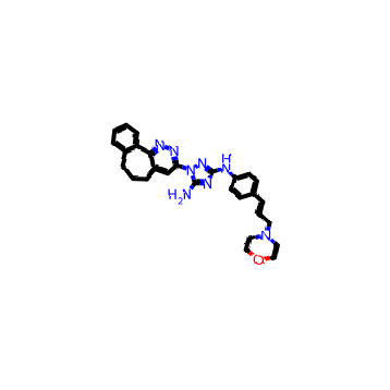 Nc1nc(Nc2ccc(C=CCN3CCOCC3)cc2)nn1-c1cc2c(nn1)-c1ccccc1CCC2